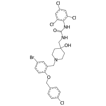 O=C(NCC1(O)CCN(Cc2cc(Br)ccc2OCc2ccc(Cl)cc2)CC1)Nc1c(Cl)cc(Cl)cc1Cl